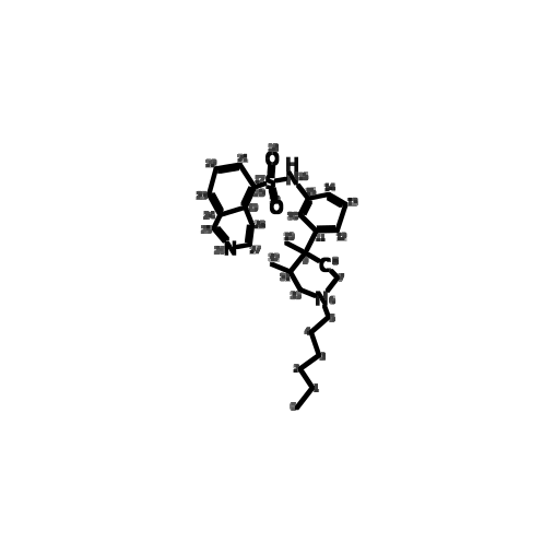 CCCCCCN1CCC(C)(c2cccc(NS(=O)(=O)c3cccc4cnccc34)c2)C(C)C1